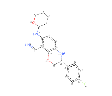 N=Cc1c(NC2CCCCO2)ccc2c1OC[C@@H](c1ccc(F)cc1)N2